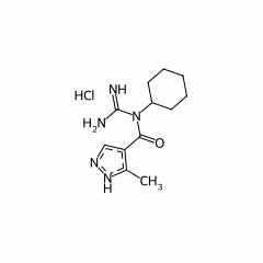 Cc1[nH]ncc1C(=O)N(C(=N)N)C1CCCCC1.Cl